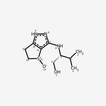 CC(C)[C@H](CO)Nc1n[nH]c2c1[S+]([O-])CC2